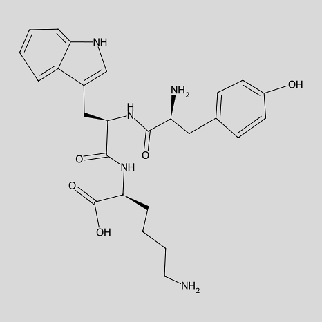 NCCCC[C@H](NC(=O)[C@@H](Cc1c[nH]c2ccccc12)NC(=O)[C@@H](N)Cc1ccc(O)cc1)C(=O)O